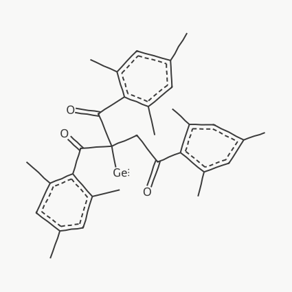 Cc1cc(C)c(C(=O)C[C]([Ge])(C(=O)c2c(C)cc(C)cc2C)C(=O)c2c(C)cc(C)cc2C)c(C)c1